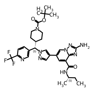 CC[C@H](C)NC(=O)c1cc(-c2cnn([C@H](c3ccc(C(F)(F)F)nc3)C3CCN(C(=O)OC(C)(C)C)CC3)c2)cn2nc(N)nc12